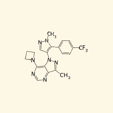 Cc1nn(-c2cnn(C)c2-c2ccc(C(F)(F)F)cc2)c2c(N3CCC3)ncnc12